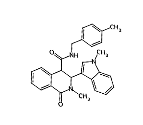 Cc1ccc(CNC(=O)C2c3ccccc3C(=O)N(C)C2c2cn(C)c3ccccc23)cc1